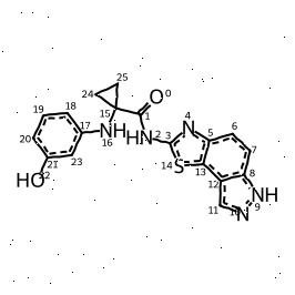 O=C(Nc1nc2ccc3[nH]ncc3c2s1)C1(Nc2cccc(O)c2)CC1